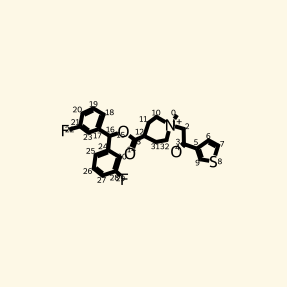 C[N+]1(CC(=O)c2ccsc2)CCC(C(=O)OC(c2cccc(F)c2)c2cccc(F)c2)CC1